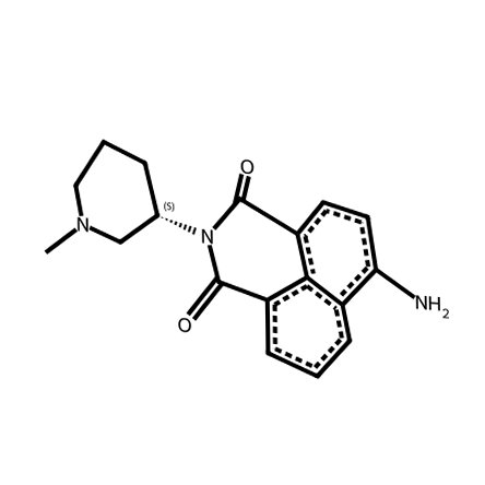 CN1CCC[C@H](N2C(=O)c3cccc4c(N)ccc(c34)C2=O)C1